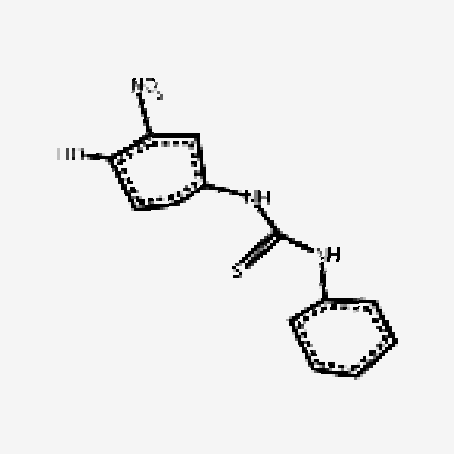 O=[N+]([O-])c1cc(NC(=S)Nc2ccccc2)ccc1O